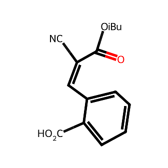 CC(C)COC(=O)C(C#N)=Cc1ccccc1C(=O)O